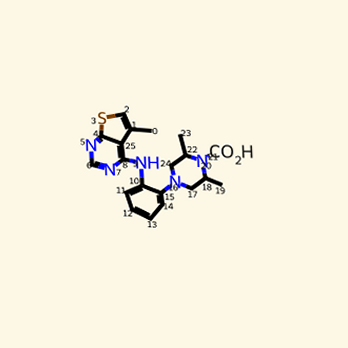 Cc1csc2ncnc(Nc3ccccc3N3CC(C)N(C(=O)O)C(C)C3)c12